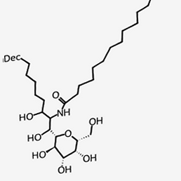 CCCCCCCCCCCCCCCCCCCCCC(=O)NC(C(O)CCCCCCCCCCCCCCC)C(O)[C@@H]1O[C@H](CO)[C@H](O)[C@H](O)[C@H]1O